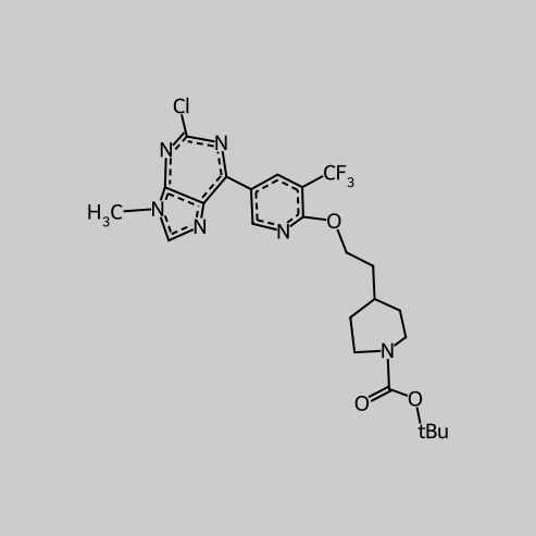 Cn1cnc2c(-c3cnc(OCCC4CCN(C(=O)OC(C)(C)C)CC4)c(C(F)(F)F)c3)nc(Cl)nc21